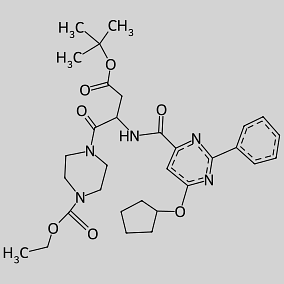 CCOC(=O)N1CCN(C(=O)C(CC(=O)OC(C)(C)C)NC(=O)c2cc(OC3CCCC3)nc(-c3ccccc3)n2)CC1